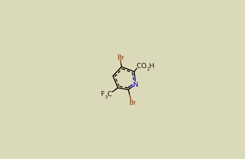 O=C(O)c1nc(Br)c(C(F)(F)F)cc1Br